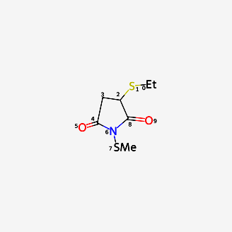 CCSC1CC(=O)N(SC)C1=O